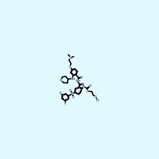 CCOCCOC(=O)n1nc(NC(=O)c2ccc(OCCN(C)C)cc2NC2CCOCC2)c2cc(S(=O)(=O)c3cc(F)cc(F)c3)ccc21